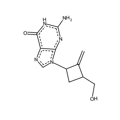 C=C1C(CO)CC1n1cnc2c(=O)[nH]c(N)nc21